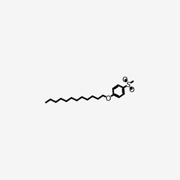 CCCCCCCCCCCCOc1ccc(S(C)(=O)=O)cc1